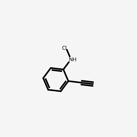 C#Cc1ccccc1NCl